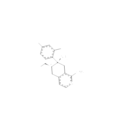 COc1nccc2c1C[C@@](N)(c1ccc(F)cc1F)[C@H](CO)C2